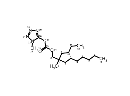 CCCCCCCC(C)(CCCC)COC(=O)Oc1nnnn1C